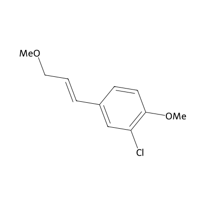 [CH2]OC/C=C/c1ccc(OC)c(Cl)c1